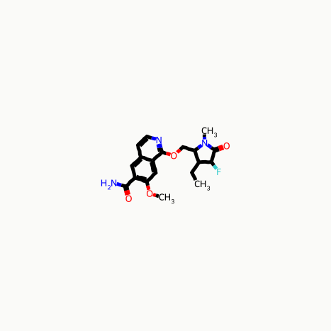 CCC1C(F)C(=O)N(C)C1COc1nccc2cc(C(N)=O)c(OC)cc12